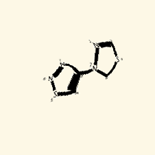 C1=NN(c2csnn2)CS1